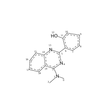 CN(C)c1nc(-c2ccccc2O)nc2ccccc12